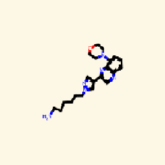 NCCCCCCn1cc(-c2cnc3cccc(N4CCOCC4)c3n2)cn1